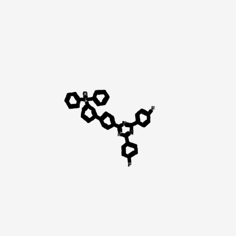 O=P(c1ccccc1)(c1ccccc1)c1cccc(-c2ccc(-c3nc(-c4ccc(F)cc4)nc(-c4ccc(F)cc4)n3)cc2)c1